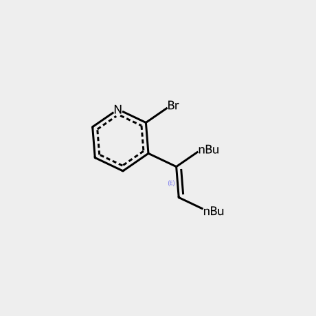 CCCC/C=C(\CCCC)c1cccnc1Br